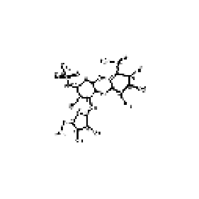 C[C@@H](O)C1OC(OC2C(N)CC(NS(C)(=O)=O)C(O)C2OC2OC(CN)C(O)C2O)C(N)C(O)C1O